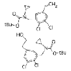 C=Cc1cc(Cl)c(Cl)c(CN(C(=O)OC(C)(C)C)C2CC2)c1.CC(C)(C)OC(=O)N(Cc1cc(CCO)cc(Cl)c1Cl)C1CC1